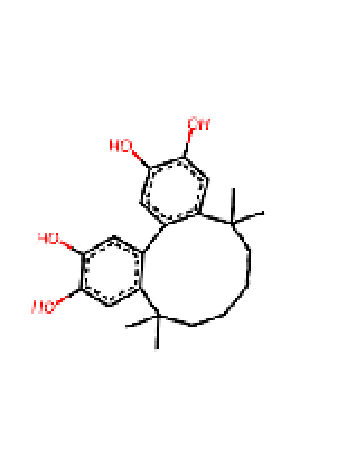 CC1(C)CCCCC(C)(C)c2cc(O)c(O)cc2-c2cc(O)c(O)cc21